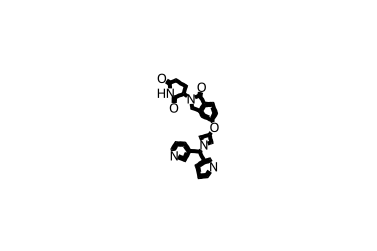 O=C1CCC(N2Cc3cc(OC4CN(C(c5cccnc5)c5cccnc5)C4)ccc3C2=O)C(=O)N1